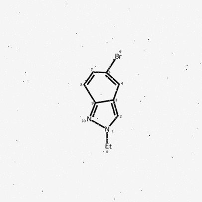 CCn1cc2cc(Br)ccc2n1